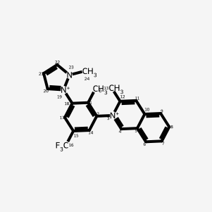 Cc1c(-[n+]2cc3ccccc3cc2C)cc(C(F)(F)F)cc1-[n+]1cccn1C